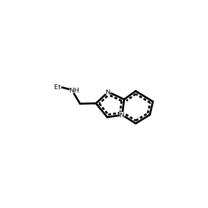 CCNCc1cn2ccccc2n1